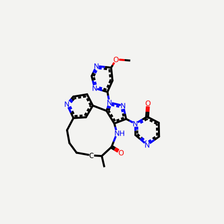 COc1cc(-n2nc(-n3cnccc3=O)c3c2-c2ccnc(c2)CCCCC(C)C(=O)N3)ncn1